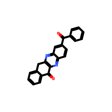 O=C(c1ccccc1)c1ccc2nc3c(nc2c1)Cc1ccccc1C3=O